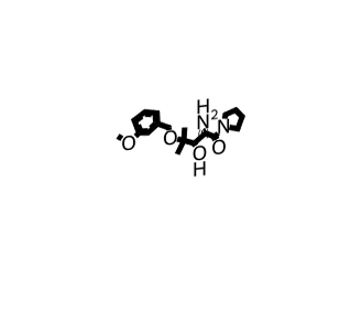 COc1cccc(COC(C)(C)C(O)[C@H](N)C(=O)N2CCCC2)c1